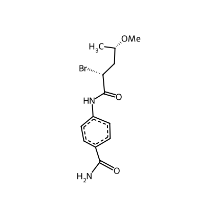 CO[C@@H](C)C[C@@H](Br)C(=O)Nc1ccc(C(N)=O)cc1